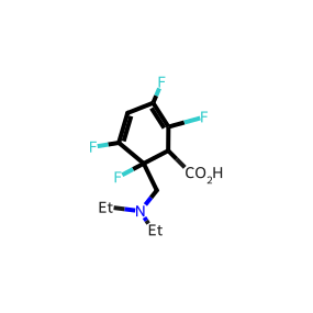 CCN(CC)CC1(F)C(F)=CC(F)=C(F)C1C(=O)O